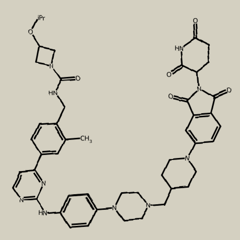 Cc1cc(-c2ccnc(Nc3ccc(N4CCN(CC5CCN(c6ccc7c(c6)C(=O)N(C6CCC(=O)NC6=O)C7=O)CC5)CC4)cc3)n2)ccc1CNC(=O)N1CC(OC(C)C)C1